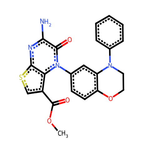 COC(=O)c1csc2nc(N)c(=O)n(-c3ccc4c(c3)N(c3ccccc3)CCO4)c12